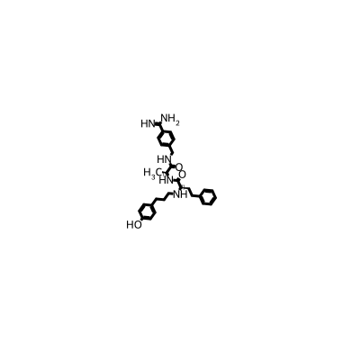 C[C@H](NC(=O)[C@@H](CCc1ccccc1)NCCCc1ccc(O)cc1)C(=O)NCc1ccc(C(=N)N)cc1